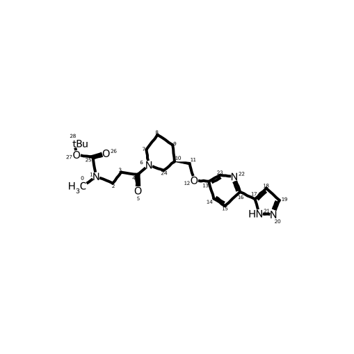 CN(CCC(=O)N1CCC[C@@H](COc2ccc(-c3ccn[nH]3)nc2)C1)C(=O)OC(C)(C)C